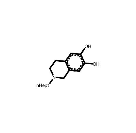 CCCCCCCN1CCc2cc(O)c(O)cc2C1